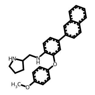 COc1ccc(Oc2cc(-c3ccc4ccccc4c3)ccc2NCC2CCCN2)cc1